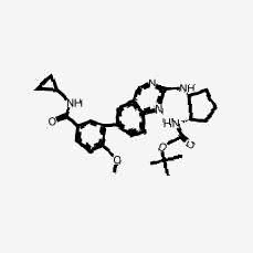 COc1ccc(C(=O)NC2CC2)cc1-c1ccc2nc(N[C@@H]3CCC[C@@H]3NC(=O)OC(C)(C)C)ncc2c1